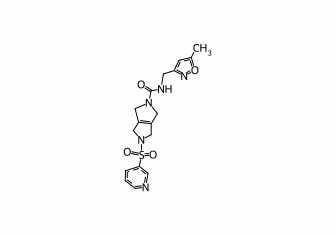 Cc1cc(CNC(=O)N2CC3=C(C2)CN(S(=O)(=O)c2cccnc2)C3)no1